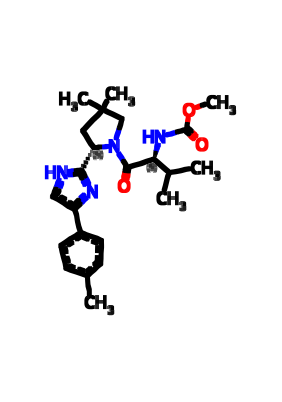 COC(=O)N[C@H](C(=O)N1CC(C)(C)C[C@H]1c1nc(-c2ccc(C)cc2)c[nH]1)C(C)C